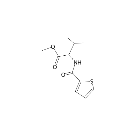 COC(=O)[C@@H](NC(=O)c1cccs1)C(C)C